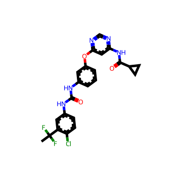 CC(F)(F)c1cc(NC(=O)Nc2cccc(Oc3cc(NC(=O)C4CC4)ncn3)c2)ccc1Cl